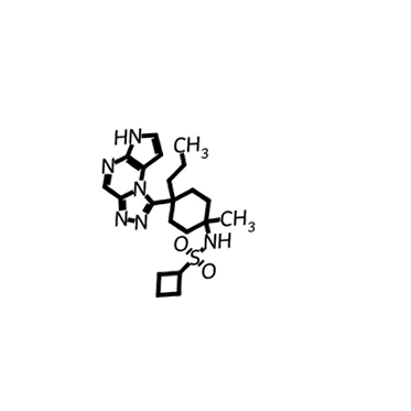 CCCC1(c2nnc3cnc4[nH]ccc4n23)CCC(C)(NS(=O)(=O)C2CCC2)CC1